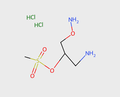 CS(=O)(=O)OC(CN)CON.Cl.Cl